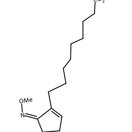 CON=C1CCC=C1CCCCCCCCC(=O)O